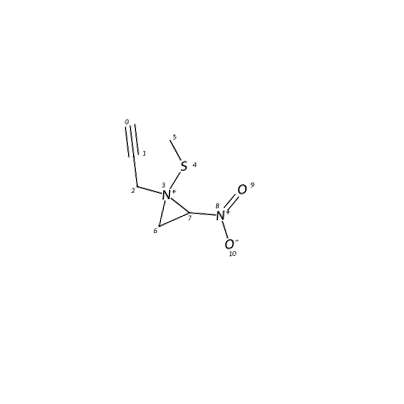 C#CC[N+]1(SC)CC1[N+](=O)[O-]